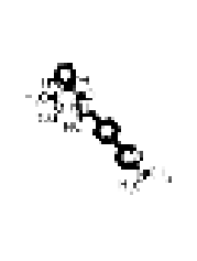 C=C(OC(C)(C)C)N1[C@@H]2CC[C@@H](C2)[C@H]1C(=O)N[C@H](C#N)Cc1ccc(-c2ccc(N(C)C)nc2)cc1